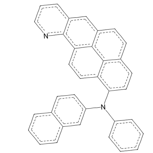 c1ccc(N(c2ccc3ccccc3c2)c2ccc3ccc4cc5cccnc5c5ccc2c3c45)cc1